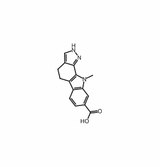 Cn1c2c(c3ccc(C(=O)O)cc31)CCc1c[nH]nc1-2